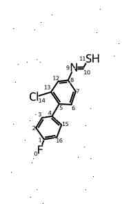 Fc1ccc(-c2ccc(N=CS)cc2Cl)cc1